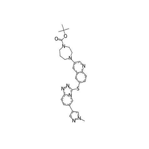 Cn1cc(-c2ccc3nnc(Sc4ccc5ncc(N6CCCN(C(=O)OC(C)(C)C)CC6)cc5c4)n3c2)cn1